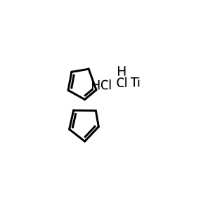 C1=CCC=C1.C1=CCC=C1.Cl.Cl.[Ti]